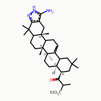 CCOC(=O)C(C)C(=O)[C@@H]1CC(C)(C)CC2C3=CCC4[C@@]5(C)Cc6c(n[nH]c6N)C(C)(C)C5CC[C@@]4(C)[C@]3(C)CC[C@@H]21